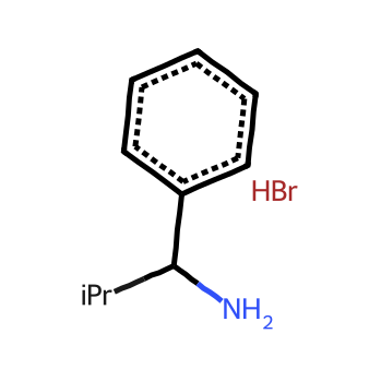 Br.CC(C)C(N)c1ccccc1